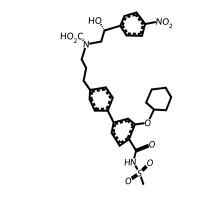 CS(=O)(=O)NC(=O)c1ccc(-c2ccc(CCCN(C[C@H](O)c3ccc([N+](=O)[O-])cc3)C(=O)O)cc2)cc1OC1CCCCC1